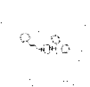 CC(c1ccccc1)(c1ccccc1)N1CCN(C/C=C/c2ccccc2)CC1